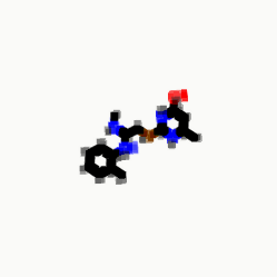 C/N=C(\CSc1nc(C)cc(O)n1)Nc1ccccc1C